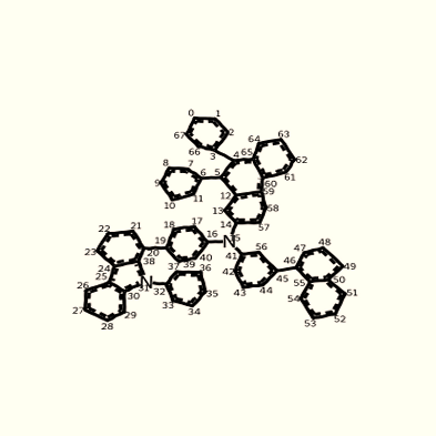 c1ccc(-c2c(-c3ccccc3)c3cc(N(c4ccc(-c5cccc6c7ccccc7n(-c7ccccc7)c56)cc4)c4cccc(-c5cccc6ccccc56)c4)ccc3c3ccccc23)cc1